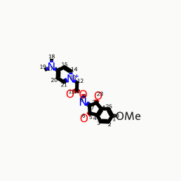 COc1ccc2c(=O)c(=NOC(=O)C[n+]3ccc(N(C)C)cc3)c(=O)c2c1